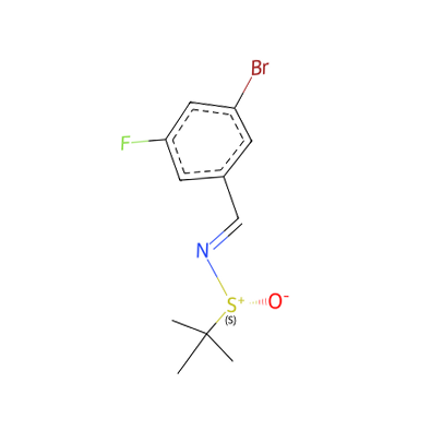 CC(C)(C)[S@@+]([O-])N=Cc1cc(F)cc(Br)c1